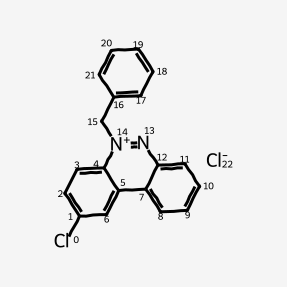 Clc1ccc2c(c1)c1ccccc1n[n+]2Cc1ccccc1.[Cl-]